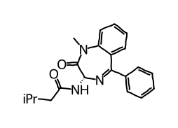 CC(C)CC(=O)N[C@H]1N=C(c2ccccc2)c2ccccc2N(C)C1=O